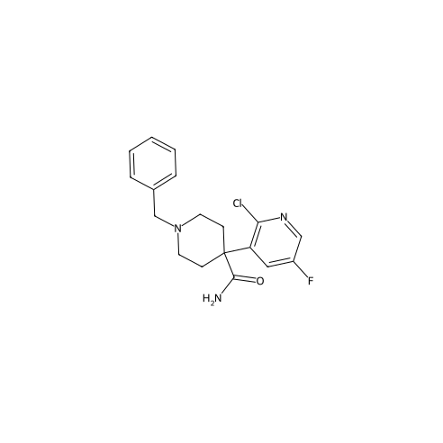 NC(=O)C1(c2cc(F)cnc2Cl)CCN(Cc2ccccc2)CC1